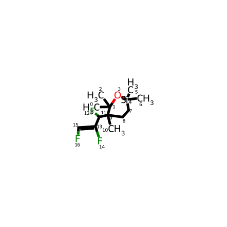 CC1(C)O[Si](C)(C)CCC1(C)C(F)C(F)=CF